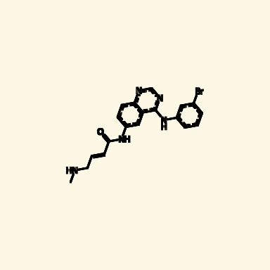 CNC/C=C/C(=O)Nc1ccc2ncnc(Nc3cccc(Br)c3)c2c1